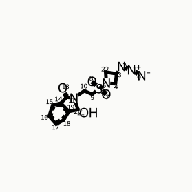 [N-]=[N+]=NC1CN(S(=O)(=O)CCN2C(=O)c3ccccc3C2O)C1